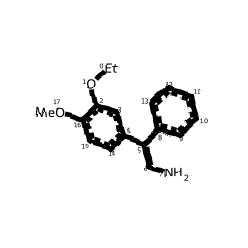 CCOc1cc(C(=CN)c2ccccc2)ccc1OC